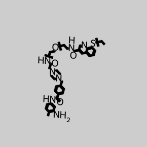 CCC(C)(C)Sc1cccc2cc(C(=O)NCCC(C)(C)OCCC(C)(C)NC(=O)CN3CCN(Cc4ccc(C(=O)Nc5ccc(C)c(N)c5)cc4)CC3)cnc12